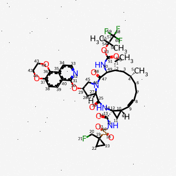 CC[C@@H]1C[C@H](C)CC/C=C\[C@@H]2C[C@@]2(C(=O)NS(=O)(=O)C2(CF)CC2)NC(=O)[C@@H]2C[C@@H](Oc3nccc4c5c(ccc34)OCCO5)CN2C(=O)[C@H]1NC(=O)OC(C)(C)C(F)(F)F